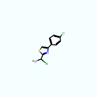 CC(Br)c1nc(-c2ccc(Cl)cc2)cs1